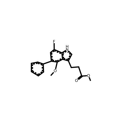 COC(=O)CCc1c[nH]c2c(F)cc(-c3ccccc3)c(OC)c12